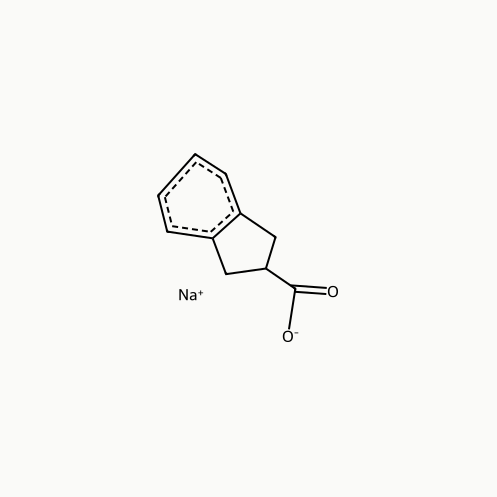 O=C([O-])C1Cc2ccccc2C1.[Na+]